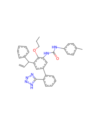 C=CC(c1ccccc1)c1cc(-c2ccccc2-c2nnn[nH]2)cc(NC(=O)Nc2ccc(C)cc2)c1OCCC